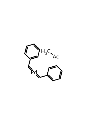 CC(C)=O.[CH](=[Pd]=[CH]c1ccccc1)c1ccccc1